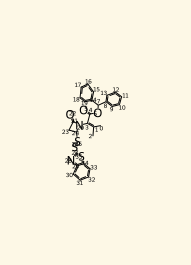 CC(C)=C(C(=O)OC(c1ccccc1)c1ccccc1)N1C(=O)CC1SSc1nc2ccccc2s1